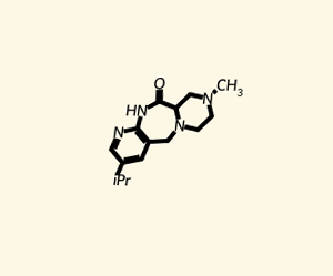 CC(C)c1cnc2c(c1)CN1CCN(C)CC1C(=O)N2